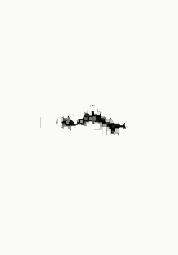 O=C(N1CC2(CC(Cc3nc(C(F)(F)F)cs3)C2)C1)N1CC2(CC(c3nc(C4CC4)n[nH]3)C2)C1